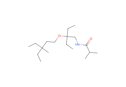 CCC(C)(CC)CCOC(CC)(CC)CNC(=O)C(C)C